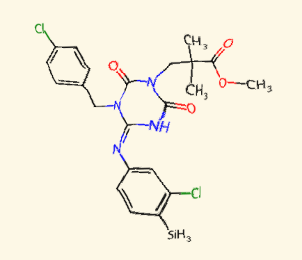 COC(=O)C(C)(C)Cn1c(=O)[nH]/c(=N\c2ccc([SiH3])c(Cl)c2)n(Cc2ccc(Cl)cc2)c1=O